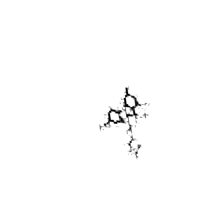 COc1cc(C)cc(C)c1C(C)(O)c1nc2ccc(C#N)cc2n1COCC[Si](C)(C)C